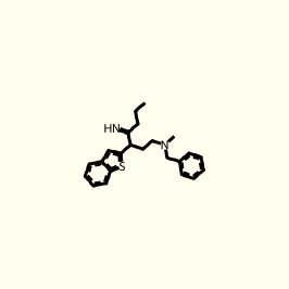 CCCC(=N)C(CCN(C)Cc1ccccc1)c1cc2ccccc2s1